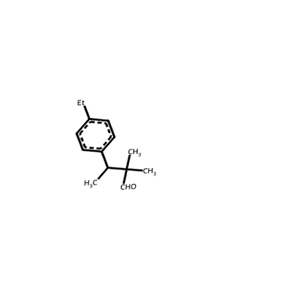 CCc1ccc(C(C)C(C)(C)C=O)cc1